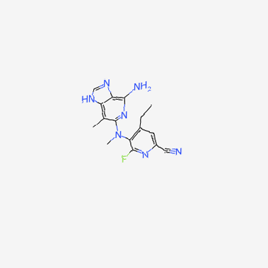 CCc1cc(C#N)nc(F)c1N(C)c1nc(N)c2nc[nH]c2c1C